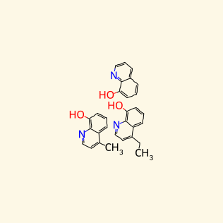 CCc1ccnc2c(O)cccc12.Cc1ccnc2c(O)cccc12.Oc1cccc2cccnc12